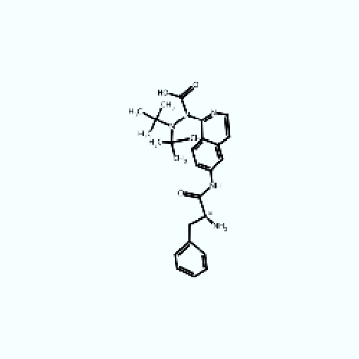 CC(C)(C)N(N(C(=O)O)c1nccc2cc(NC(=O)[C@@H](N)Cc3ccccc3)ccc12)C(C)(C)C